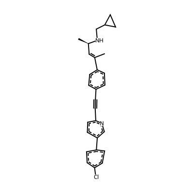 CC(=C[C@@H](C)NCC1CC1)c1ccc(C#Cc2ccc(-c3ccc(Cl)cc3)cn2)cc1